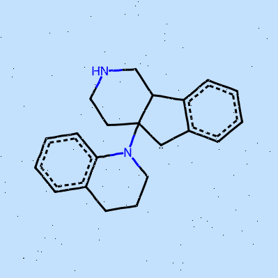 [C]1c2ccccc2C2CNCCC12N1CCCc2ccccc21